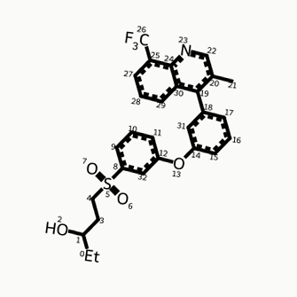 CCC(O)CCS(=O)(=O)c1cccc(Oc2cccc(-c3c(C)cnc4c(C(F)(F)F)cccc34)c2)c1